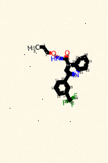 CCCONC(=O)c1cc(-c2cccc(C(F)(F)F)c2)nc2ccccc12